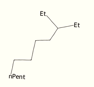 [CH2]CCCCCCCCC(C[CH2])CC